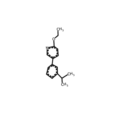 CCOc1ccc(-c2cccc(C(C)C)c2)cn1